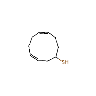 SC1CC=CCCC=CCC1